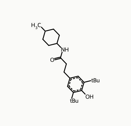 CC1CCC(NC(=O)CCc2cc(C(C)(C)C)c(O)c(C(C)(C)C)c2)CC1